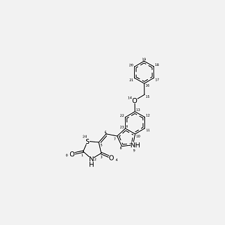 O=C1NC(=O)/C(=C\c2c[nH]c3ccc(OCc4ccccc4)cc23)S1